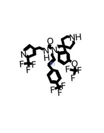 O=C(NCc1ccnc(C(F)(F)F)c1)[N+]1(C/C=C/c2ccc(C(F)(F)F)cc2)CC2(CCNCC2)c2cc(OC(F)(F)F)ccc21